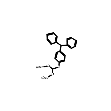 CCCCCCCCCCOC(OCCCCCCCCCC)Oc1ccc([C](c2ccccc2)c2ccccc2)cc1